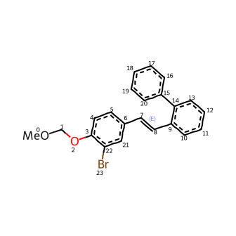 COCOc1ccc(/C=C/c2ccccc2-c2ccccc2)cc1Br